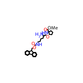 COC(=O)C1(NC(=O)[C@@H](N)CCCCNC(=O)OCC2c3ccccc3-c3ccccc32)CCCC1